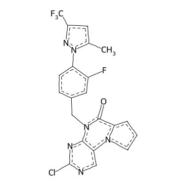 Cc1cc(C(F)(F)F)nn1-c1ccc(Cn2c(=O)c3cccn3c3cnc(Cl)nc32)cc1F